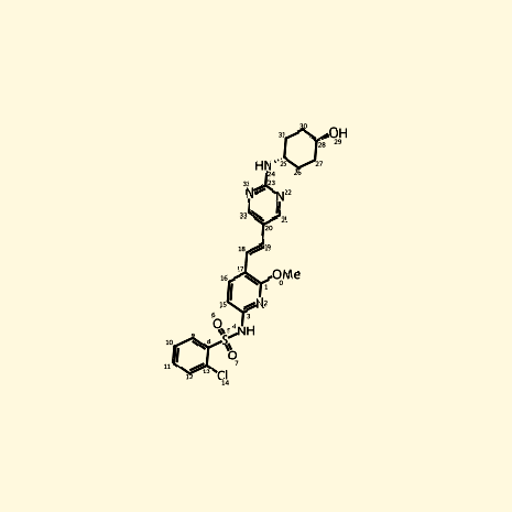 COc1nc(NS(=O)(=O)c2ccccc2Cl)ccc1/C=C/c1cnc(N[C@H]2CC[C@H](O)CC2)nc1